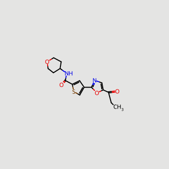 CCC(=O)c1cnc(-c2csc(C(=O)NC3CCOCC3)c2)o1